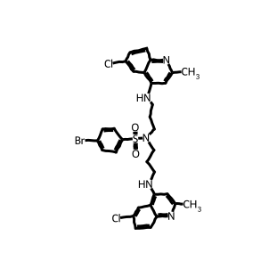 Cc1cc(NCCCN(CCCNc2cc(C)nc3ccc(Cl)cc23)S(=O)(=O)c2ccc(Br)cc2)c2cc(Cl)ccc2n1